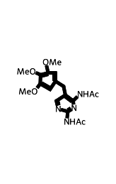 COc1cc(Cc2cnc(NC(C)=O)nc2NC(C)=O)cc(OC)c1OC